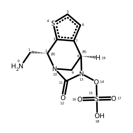 NC[C@@H]1c2sccc2[C@@H]2CN1C(=O)N2OS(=O)(=O)O